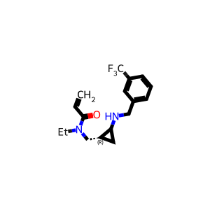 C=CC(=O)N(CC)C[C@H]1CC1NCc1cccc(C(F)(F)F)c1